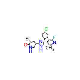 CCc1cc(C2=N[C@](c3ccc(Cl)cc3)(c3ccnc(F)c3)[C@H](C)N2)c[nH]c1=O